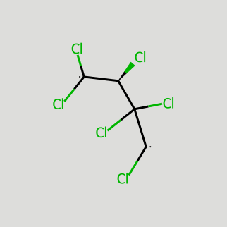 Cl[CH]C(Cl)(Cl)[C@H](Cl)[C](Cl)Cl